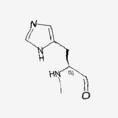 CN[C@H](C=O)Cc1cnc[nH]1